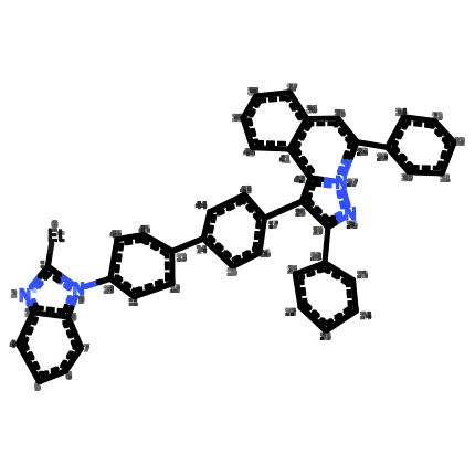 CCc1nc2ccccc2n1-c1ccc(-c2ccc(-c3c(-c4ccccc4)nn4c(-c5ccccc5)cc5ccccc5c34)cc2)cc1